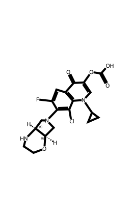 O=C(O)Oc1cn(C2CC2)c2c(Cl)c(N3C[C@@H]4NCCO[C@@H]4C3)c(F)cc2c1=O